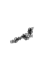 Cc1ccc(S(=O)(=O)n2ccc3c(-c4ccc5nc(N6CCC(N7C[C@@H](C)N(C(=O)OC(C)(C)C)C[C@@H]7C)CC6)nc([C@@](CO)(OC6CC6)c6ccccc6)c5c4)cn(C)c(=O)c32)cc1